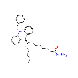 CCCCSC(SCCCCCC(=O)NN)=C1c2ccccc2N(Cc2ccccc2)c2ccccc21